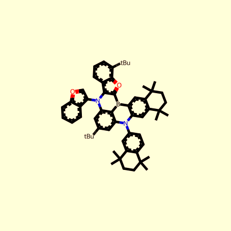 CC(C)(C)c1cc2c3c(c1)N(c1coc4ccccc14)c1c(oc4c(C(C)(C)C)cccc14)B3c1cc3c(cc1N2c1ccc2c(c1)C(C)(C)CCC2(C)C)C(C)(C)CCC3(C)C